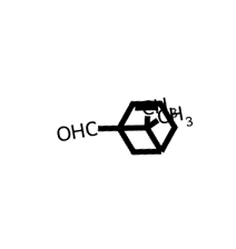 CC1(C)C2CC=CC1(C=O)C2